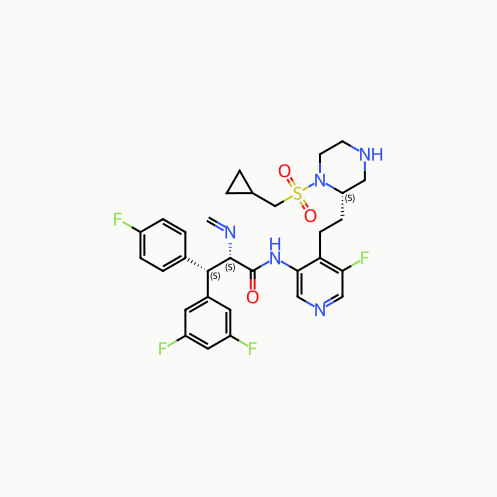 C=N[C@H](C(=O)Nc1cncc(F)c1CC[C@H]1CNCCN1S(=O)(=O)CC1CC1)[C@@H](c1ccc(F)cc1)c1cc(F)cc(F)c1